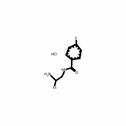 CCC(N)CNC(=O)c1ccc(F)cc1.Cl